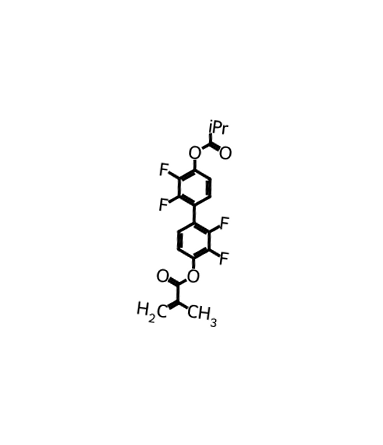 C=C(C)C(=O)Oc1ccc(-c2ccc(OC(=O)C(C)C)c(F)c2F)c(F)c1F